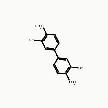 O=C(O)c1ccc(-c2ccc(C(=O)O)c(O)c2)cc1O